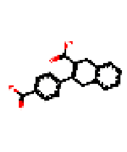 O=C(O)C1=C(c2ccc(C(=O)O)cc2)Cc2ccccc2[CH]1